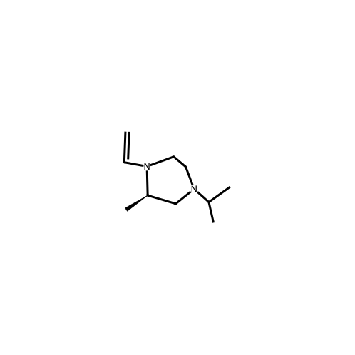 C=CN1CCN(C(C)C)C[C@H]1C